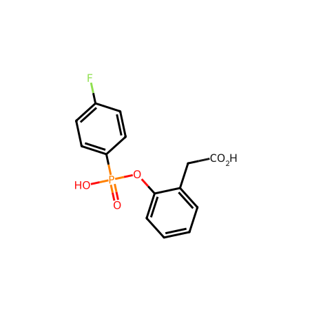 O=C(O)Cc1ccccc1OP(=O)(O)c1ccc(F)cc1